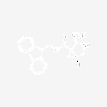 O=C(O)C1NC[C@@H]2C[C@@]12C(=O)OCC1c2ccccc2-c2ccccc21